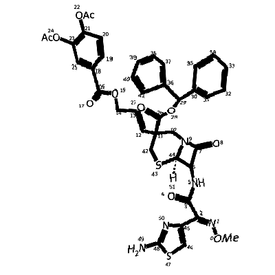 CON=C(C(=O)NC1C(=O)N2CC(C=CCOC(=O)c3ccc(OC(C)=O)c(OC(C)=O)c3)(C(=O)OC(c3ccccc3)c3ccccc3)CS[C@H]12)c1csc(N)n1